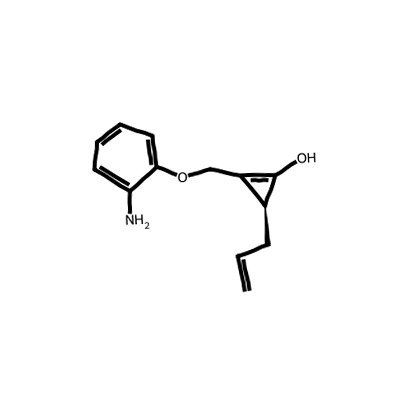 C=CC[C@@H]1C(O)=C1COc1ccccc1N